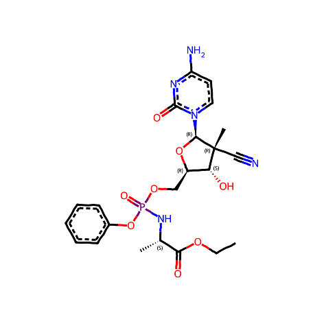 CCOC(=O)[C@H](C)NP(=O)(OC[C@H]1O[C@@H](n2ccc(N)nc2=O)[C@](C)(C#N)[C@@H]1O)Oc1ccccc1